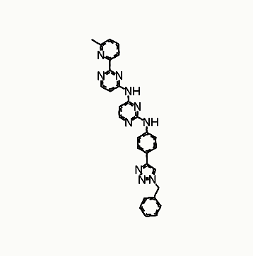 Cc1cccc(-c2nccc(Nc3ccnc(Nc4ccc(-c5cn(Cc6ccccc6)nn5)cc4)n3)n2)n1